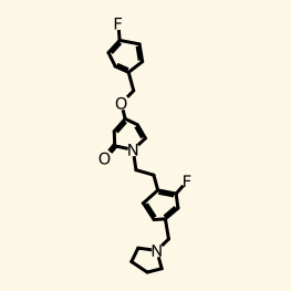 O=c1cc(OCc2ccc(F)cc2)ccn1CCc1ccc(CN2CCCC2)cc1F